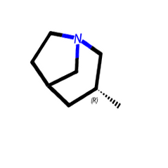 C[C@@H]1CC2CCN(C2)C1